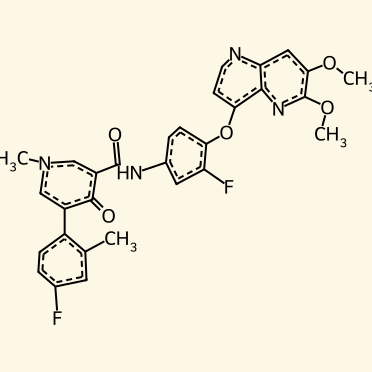 COc1cc2nccc(Oc3ccc(NC(=O)c4cn(C)cc(-c5ccc(F)cc5C)c4=O)cc3F)c2nc1OC